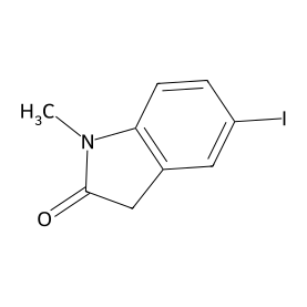 CN1C(=O)Cc2cc(I)ccc21